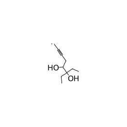 [CH2]C#CCC(O)C(O)(CC)CC